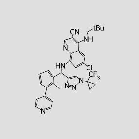 Cc1c(-c2ccncc2)cccc1[C@H](Nc1cc(Cl)cc2c(NCC(C)(C)C)c(C#N)cnc12)c1cn(C2(C(F)(F)F)CC2)nn1